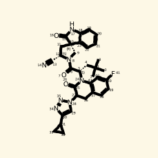 CC(C)(C)C[C@@H](C(=O)N1C[C@]2(C[C@H]1C#N)C(=O)Nc1ccccc12)N1C(=O)C(n2cc(C3CC3)nn2)Cc2ccc(F)cc21